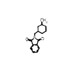 CC1CCCC(CN2C(=O)c3ccccc3C2=O)C1